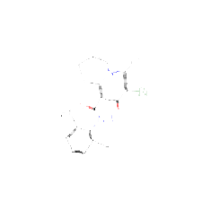 CCc1cccc(CC)c1NC(=O)c1c2n(c(C(F)(F)F)c(Br)c1=O)CCCC2